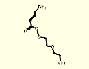 NC/C=C/C(=O)OSCCOCCO